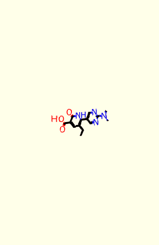 CCc1cc(C(=O)O)c(=O)[nH]c1-c1cnc(N(C)C)nc1